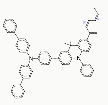 C=C(/C=C\C=C/C)c1ccc2c(c1)C(C)(C)c1cc(-c3ccc(N(c4ccc(-c5ccccc5)cc4)c4ccc(-c5ccccc5)cc4)cc3)ccc1N2c1ccccc1